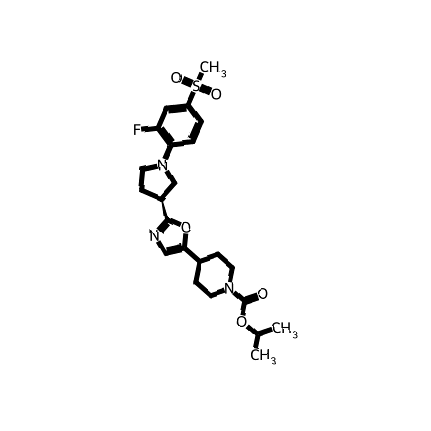 CC(C)OC(=O)N1CCC(c2cnc([C@H]3CCN(c4ccc(S(C)(=O)=O)cc4F)C3)o2)CC1